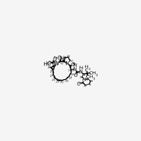 CC(C)(C)[C@@H](CN1CCCCC1=O)NC(=O)N[C@H]1CCCCCCCC2C[C@@]2(C(=O)O)NC(=O)[C@@H]2CCCN2C1=O